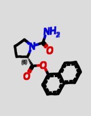 NC(=O)N1CCC[C@H]1C(=O)Oc1cccc2ccccc12